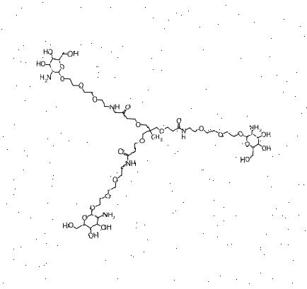 CC(COCCC(=O)CNCCOCCOCCOC1OC(CO)C(O)C(O)C1N)(COCCC(=O)NCCOCCOCCOC1OC(CO)C(O)C(O)C1N)COCCC(=O)NCCOCCOCCOC1OC(CO)C(O)C(O)C1N